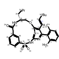 Cc1cccc(C)c1-c1nc2nc(c1/C=C/C(C)(C)C)OC[C@@H](CC(C)C)NC(=O)c1cccc(c1)S(=O)(=O)N2